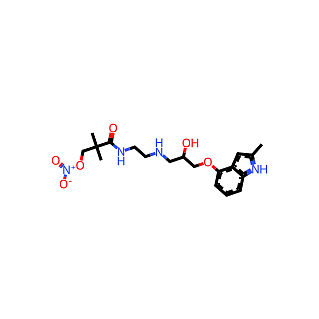 Cc1cc2c(OCC(O)CNCCNC(=O)C(C)(C)CO[N+](=O)[O-])cccc2[nH]1